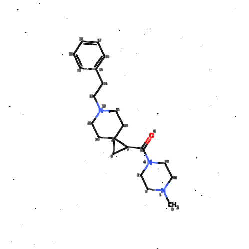 CN1CCN(C(=O)C2CC23CCN(CCc2ccccc2)CC3)CC1